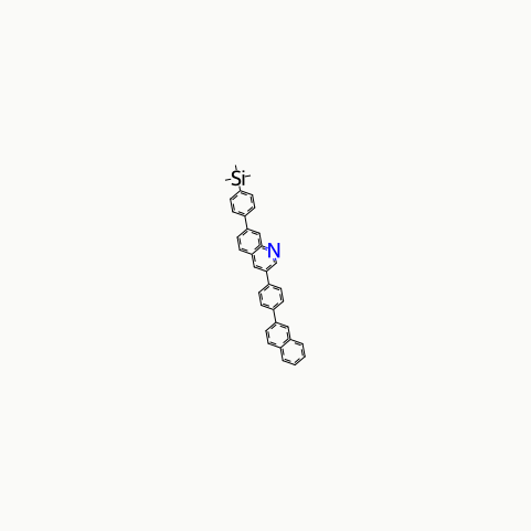 C[Si](C)(C)c1ccc(-c2ccc3cc(-c4ccc(-c5ccc6ccccc6c5)cc4)cnc3c2)cc1